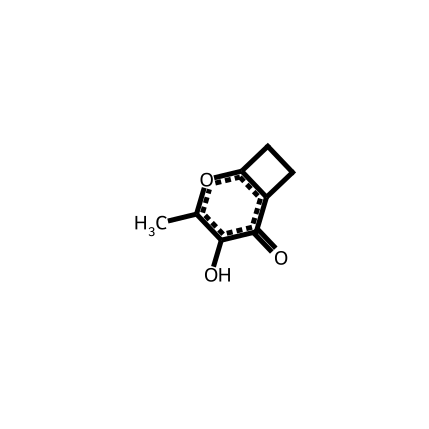 Cc1oc2c(c(=O)c1O)CC2